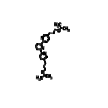 CC(C)OCCCc1ccc(-c2cccc(-c3ccc(CCCOC(C)C)cn3)n2)nc1